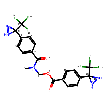 CN(COC(=O)c1ccc(C2(C(F)(F)F)NN2)cc1)C(=O)c1ccc(C2(C(F)(F)F)NN2)cc1